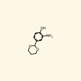 Nc1cc(C2OCCCO2)ccc1O